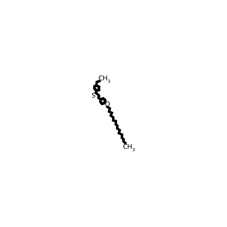 CCCCCCCCCCCCCCCCCCCOc1ccc(C=CC(=S)c2ccc(CCC)cc2)cc1